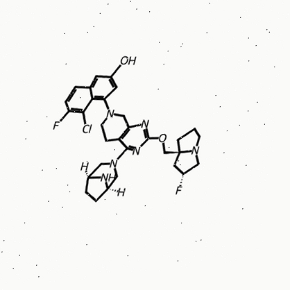 Oc1cc(N2CCc3c(nc(OC[C@@]45CCCN4C[C@H](F)C5)nc3N3C[C@H]4CC[C@@H](C3)N4)C2)c2c(Cl)c(F)ccc2c1